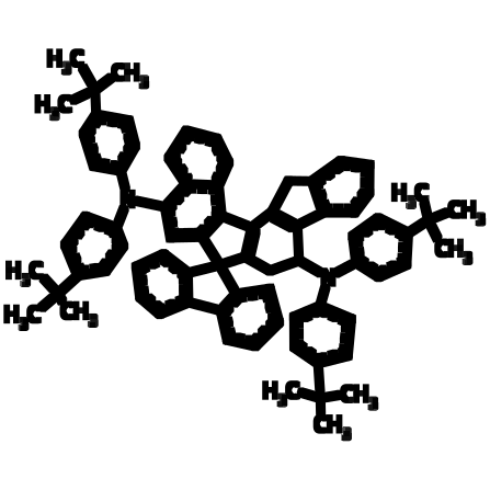 CC(C)(C)c1ccc(N(c2ccc(C(C)(C)C)cc2)c2cc3c(c4ccccc24)C2=C(CC(N(c4ccc(C(C)(C)C)cc4)c4ccc(C(C)(C)C)cc4)C4=C2Cc2ccccc24)C32c3ccccc3-c3ccccc32)cc1